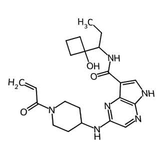 C=CC(=O)N1CCC(Nc2cnc3[nH]cc(C(=O)NC(CC)C4(O)CCC4)c3n2)CC1